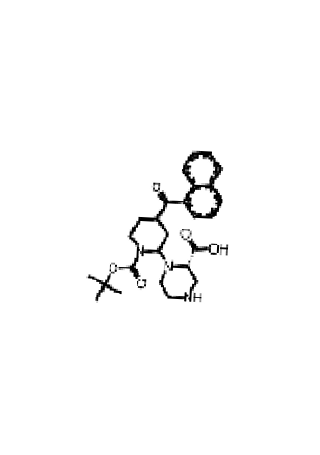 CC(C)(C)OC(=O)N1CCC(C(=O)c2cccc3ccccc23)CC1N1CCNC[C@H]1C(=O)O